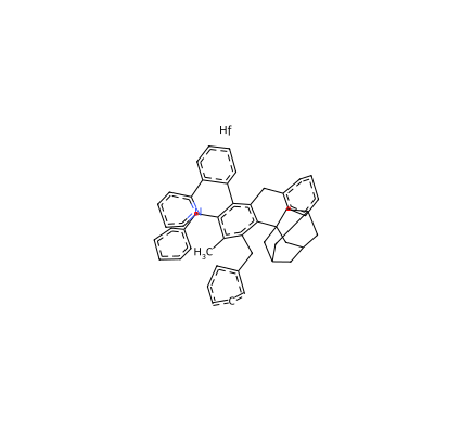 Cc1c(Cc2ccccc2)c(-c2ccccc2-c2ccccn2)c(Cc2ccccc2)c(C23CC4CC(CC(C4)C2)C3)c1Cc1ccccc1.[Hf]